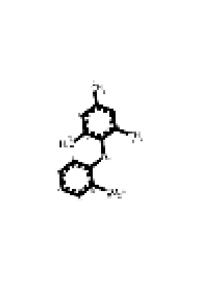 Cc1cc(C)c(Oc2ccccc2C(=O)O)c(C)c1